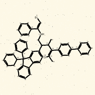 CC/C=C(/NCC(c1ccc2c(c1)C(c1ccccc1)(C1C=CC=CC1)c1ccccc1-2)C(C)/C(=C(/C)CC)c1ccc(-c2ccccc2)cc1)c1ccccc1